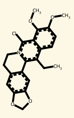 CCc1c2[n+](c(Cl)c3c(OC)c(OC)ccc13)CCc1cc3c(cc1-2)OCO3